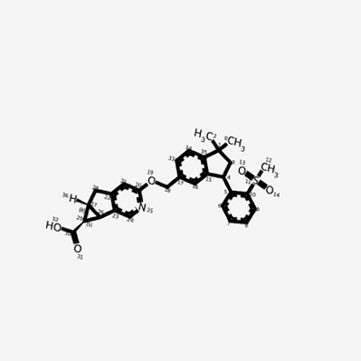 CC1(C)CC(c2ccccc2S(C)(=O)=O)c2cc(COc3cc4c(cn3)C3[C@@H](C4)[C@@H]3C(=O)O)ccc21